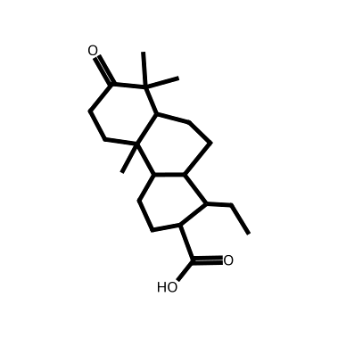 CCC1C(C(=O)O)CCC2C1CCC1C(C)(C)C(=O)CCC21C